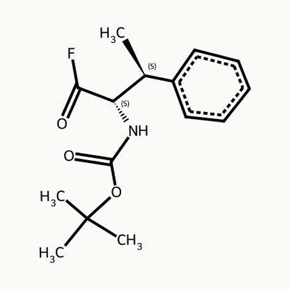 C[C@@H](c1ccccc1)[C@H](NC(=O)OC(C)(C)C)C(=O)F